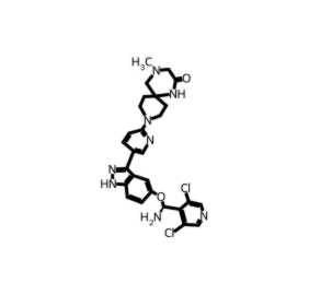 CN1CC(=O)NC2(CCN(c3ccc(-c4n[nH]c5ccc(O[C@H](N)c6c(Cl)cncc6Cl)cc45)cn3)CC2)C1